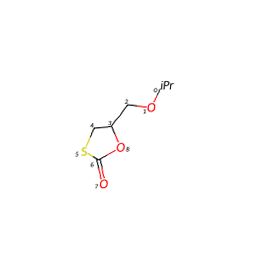 CC(C)OCC1CSC(=O)O1